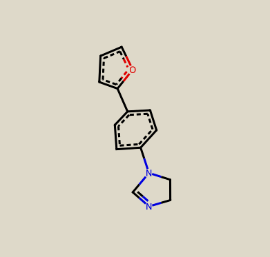 C1=NCCN1c1ccc(-c2ccco2)cc1